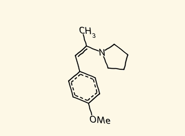 COc1ccc(C=C(C)N2CCCC2)cc1